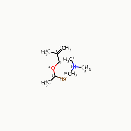 C=C(C)COC(C)Br.CN(C)C